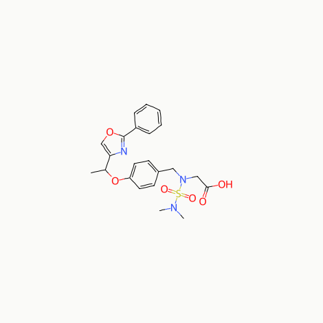 CC(Oc1ccc(CN(CC(=O)O)S(=O)(=O)N(C)C)cc1)c1coc(-c2ccccc2)n1